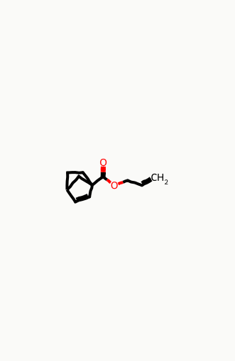 C=CCOC(=O)C12C=CC(CC1)C2